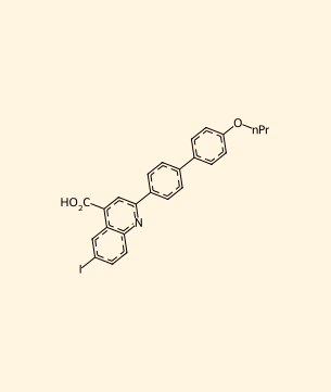 CCCOc1ccc(-c2ccc(-c3cc(C(=O)O)c4cc(I)ccc4n3)cc2)cc1